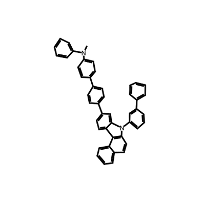 CN(c1ccccc1)c1ccc(-c2ccc(-c3ccc4c5c6ccccc6ccc5n(-c5cccc(-c6ccccc6)c5)c4c3)cc2)cc1